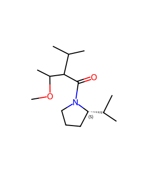 COC(C)C(C(=O)N1CCC[C@H]1C(C)C)C(C)C